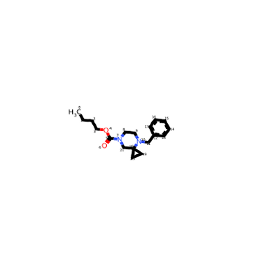 CCCCOC(=O)N1CCN(Cc2ccccc2)C2(CC2)C1